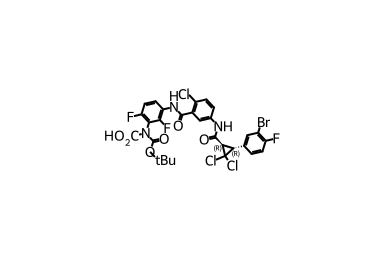 CC(C)(C)OC(=O)N(C(=O)O)c1c(F)ccc(NC(=O)c2cc(NC(=O)[C@H]3[C@H](c4ccc(F)c(Br)c4)C3(Cl)Cl)ccc2Cl)c1F